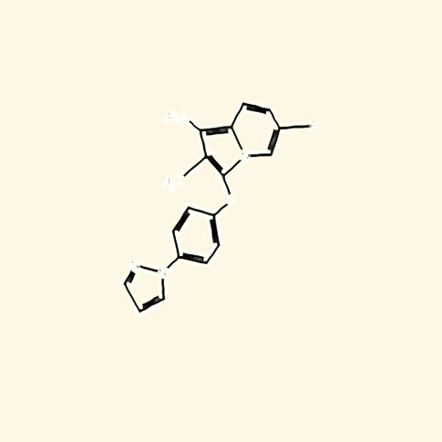 CC(=O)Oc1c(C)c(Sc2ccc(-n3cccn3)cc2)n2cc(F)ccc12